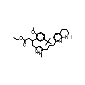 CCOC(=O)CC(Cc1cc(CCCc2ccc3c(n2)NCCC3)n(C)n1)c1cc(C(C)(C)C)ccc1OC